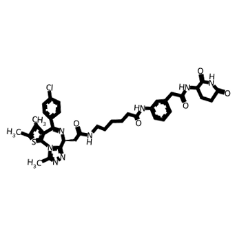 Cc1sc2c(c1C)C(c1ccc(Cl)cc1)=N[C@@H](CC(=O)NCCCCCC(=O)Nc1cccc(CC(=O)NC3CCC(=O)NC3=O)c1)c1nnc(C)n1-2